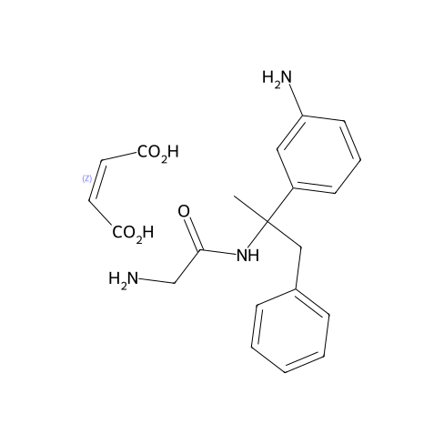 CC(Cc1ccccc1)(NC(=O)CN)c1cccc(N)c1.O=C(O)/C=C\C(=O)O